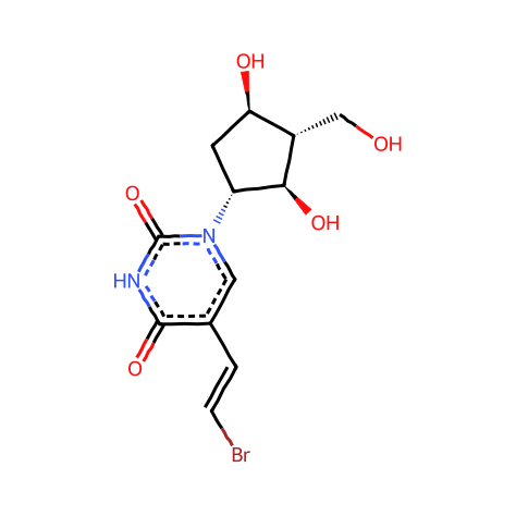 O=c1[nH]c(=O)n([C@@H]2C[C@@H](O)[C@H](CO)[C@H]2O)cc1/C=C/Br